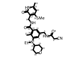 CCN(c1cc(CNC(=O)CC#N)cc(C(=O)NCc2c(SC)cc(C)[nH]c2=O)c1C)C1CCOCC1